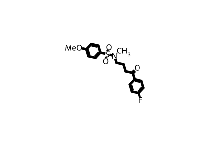 COc1ccc(S(=O)(=O)N(C)CCCC(=O)c2ccc(F)cc2)cc1